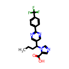 CCCC(c1cnc(-c2ccc(C(F)(F)F)cc2)nc1)n1cncc1C(=O)O